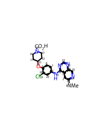 CNc1cc2c(Nc3ccc(OC4CCN(C(=O)O)CC4)c(Cl)c3)ncnc2cn1